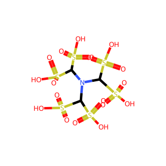 O=S(=O)(O)C(N(C(S(=O)(=O)O)S(=O)(=O)O)C(S(=O)(=O)O)S(=O)(=O)O)S(=O)(=O)O